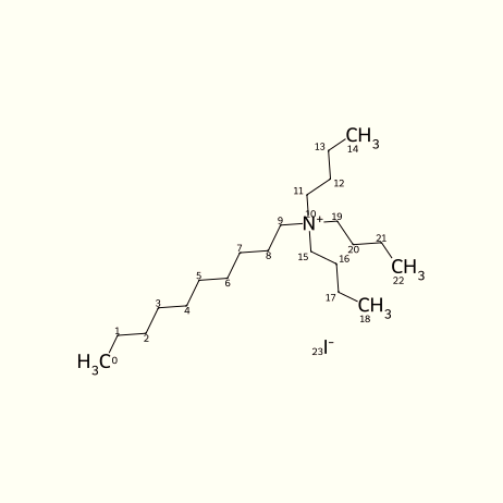 CCCCCCCCCC[N+](CCCC)(CCCC)CCCC.[I-]